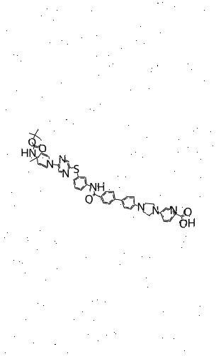 CC1(NC(=O)OC(C)(C)C)C=CN(c2cnc(Sc3cccc(NC(=O)c4ccc(-c5ccc(N6CCN(c7ccc(C(=O)O)nc7)CC6)cc5)cc4)c3)cn2)C=C1